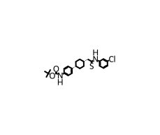 CC(C)(C)OC(=O)Nc1ccc([C@H]2CC[C@@H](CC(=S)Nc3cccc(Cl)c3)CC2)cc1